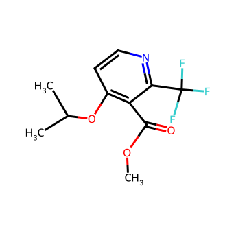 COC(=O)c1c(OC(C)C)ccnc1C(F)(F)F